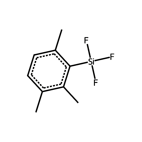 Cc1ccc(C)c([Si](F)(F)F)c1C